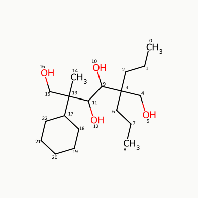 CCCC(CO)(CCC)C(O)C(O)C(C)(CO)C1CCCCC1